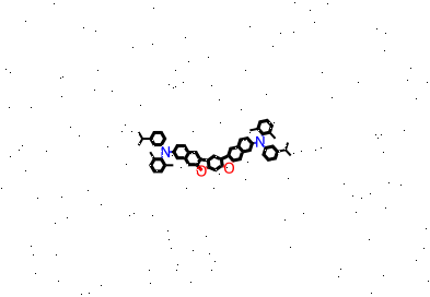 Cc1cccc(C)c1N(c1cccc(C(C)C)c1)c1ccc2cc3c(cc2c1)oc1cc2oc4cc5cc(N(c6cccc(C(C)C)c6)c6c(C)cccc6C)ccc5cc4c2cc13